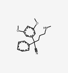 CNCCCC(C#N)(c1ccccc1)c1cc(OC)cc(OC)c1